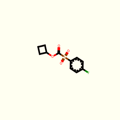 O=C(OC1CCC1)S(=O)(=O)c1ccc(F)cc1